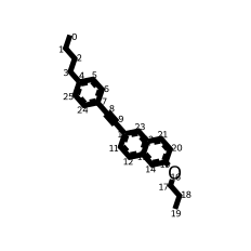 CCCCc1ccc(C#Cc2ccc3cc(OCCC)ccc3c2)cc1